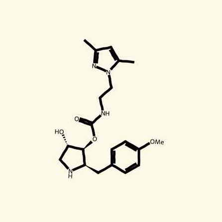 COc1ccc(C[C@H]2NC[C@H](O)[C@H]2OC(=O)NCCn2nc(C)cc2C)cc1